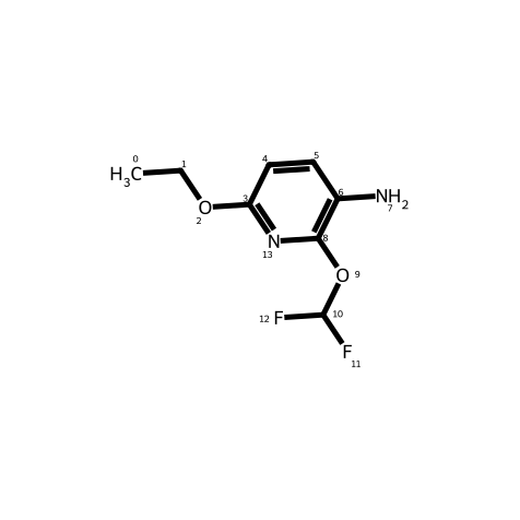 CCOc1ccc(N)c(OC(F)F)n1